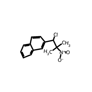 CC(C)(C(Cl)c1ccc2ccccc2c1)[N+](=O)[O-]